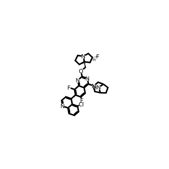 Fc1cc2c(N3CC4CCC(C3)N4)nc(OC[C@@]34CCCN3C[C@H](F)C4)nc2c(F)c1-c1ccnc2cccc(Cl)c12